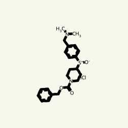 CN(C)Cc1ccc([S+]([O-])C2CCN(C(=O)OCc3ccccc3)CC2)cc1.Cl